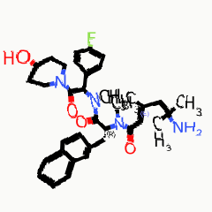 C/C(=C\C(=O)N(C)[C@H](Cc1ccc2ccccc2c1)C(=O)N(C)C(C(=O)N1CCC(O)CC1)c1ccc(F)cc1)CC(C)(C)N